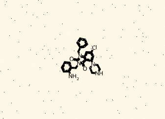 Nc1ccccc1Cn1c(=O)c2c(N3CCNCC3)cc(Cl)cc2n(Cc2ccccc2)c1=O